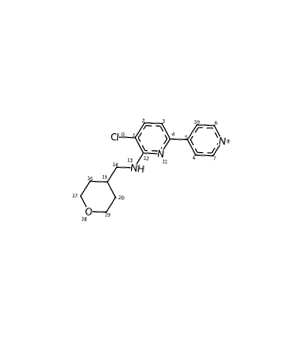 Clc1ccc(-c2ccncc2)nc1NCC1CCOCC1